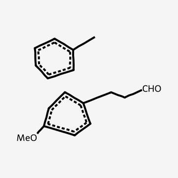 COc1ccc(CCC=O)cc1.Cc1ccccc1